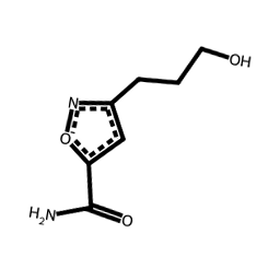 NC(=O)c1cc(CCCO)no1